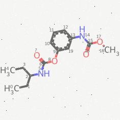 CCC(CC)NC(=O)Oc1cccc(NC(=O)OC)c1